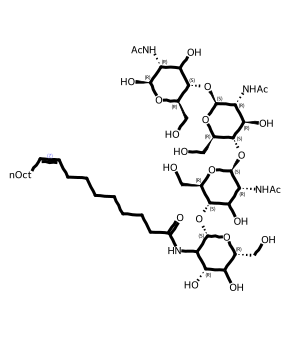 CCCCCCCC/C=C\CCCCCCCC(=O)NC1[C@H](O[C@H]2C(O)[C@@H](NC(C)=O)[C@H](O[C@H]3[C@H](O)[C@@H](NC(C)=O)[C@H](O[C@H]4C(O)[C@@H](NC(C)=O)[C@H](O)O[C@@H]4CO)O[C@@H]3CO)O[C@@H]2CO)O[C@H](CO)C(O)[C@@H]1O